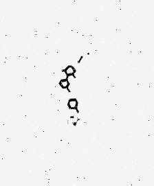 CSCCOc1cc(C)c(-c2cccc(COc3ccc(Cn4oc(=O)[nH]c4=O)cc3)c2)c(C)c1